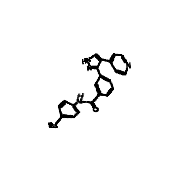 CC(C)(C)c1ccc(NC(=O)c2cccc(-c3n[nH]cc3-c3ccncc3)c2)cc1